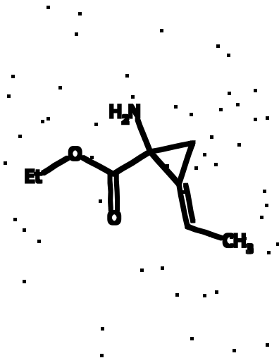 C/C=C1\CC1(N)C(=O)OCC